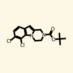 CC(C)(C)OC(=O)N1CCn2c(cc3ccc(Cl)c(Cl)c32)C1